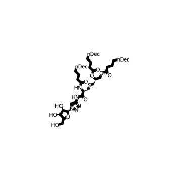 CCCCCCCCCCCCCC(=O)N[C@H](CSC[C@@H](COC(=O)CCCCCCCCCCCCC)OC(=O)CCCCCCCCCCCCC)C(=O)Nc1cn([C@H]2OC(CO)[C@@H](O)[C@@H]2O)nn1